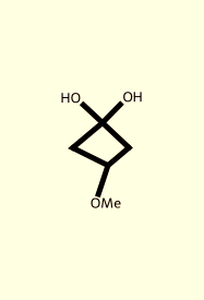 COC1CC(O)(O)C1